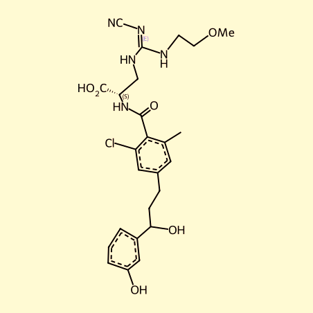 COCCN/C(=N/C#N)NC[C@H](NC(=O)c1c(C)cc(CCC(O)c2cccc(O)c2)cc1Cl)C(=O)O